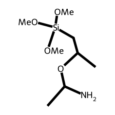 CO[Si](CC(C)OC(C)N)(OC)OC